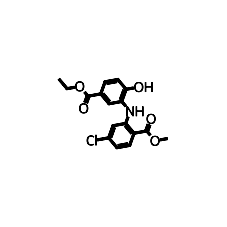 CCOC(=O)c1ccc(O)c(Nc2cc(Cl)ccc2C(=O)OC)c1